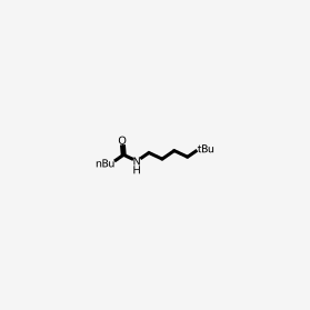 CCCCC(=O)NCCCCC(C)(C)C